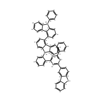 c1ccc(-c2nc(-c3ccc4sc5ccccc5c4c3)nc(-c3ccccc3-n3c4ccccc4c4c(-c5cccc6c5c5ccccc5n6-c5ccccc5)cccc43)n2)cc1